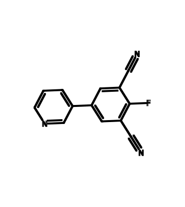 N#Cc1cc(-c2cccnc2)cc(C#N)c1F